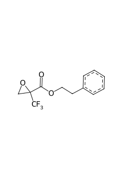 O=C(OCCc1ccccc1)C1(C(F)(F)F)CO1